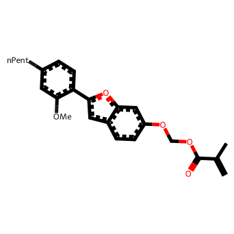 C=C(C)C(=O)OCOc1ccc2cc(-c3ccc(CCCCC)cc3OC)oc2c1